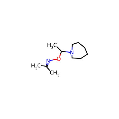 CC(C)=NOC(C)N1CCCCCC1